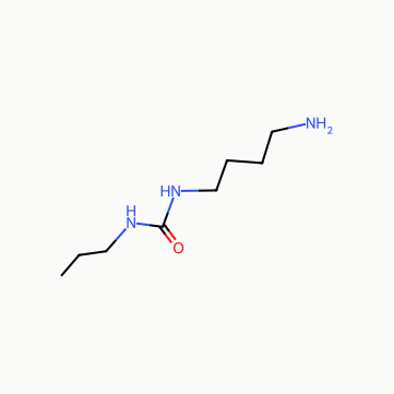 CCCNC(=O)NCCCCN